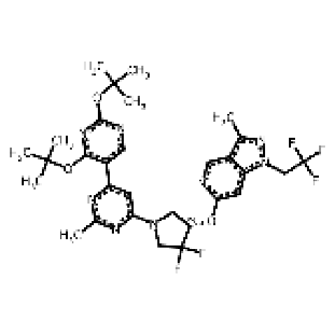 Cc1nc(-c2cnc(OC(C)(C)C)nc2OC(C)(C)C)cc(N2C[C@H](Oc3cc4c(cn3)c(C)nn4CC(F)(F)F)C(F)(F)C2)n1